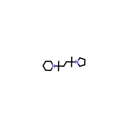 CC(C)(CCC(C)(C)N1CCCC1)N1CCCCC1